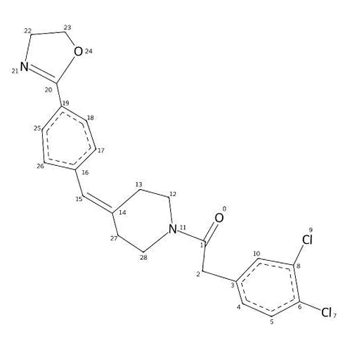 O=C(Cc1ccc(Cl)c(Cl)c1)N1CCC(=Cc2ccc(C3=NCCO3)cc2)CC1